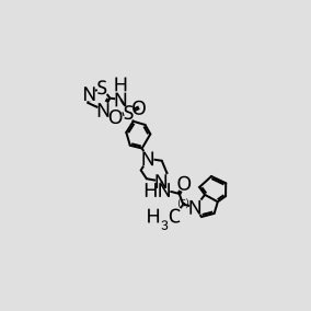 C[C@@H](C(=O)NN1CCN(c2ccc(S(=O)(=O)Nc3ncns3)cc2)CC1)n1ccc2ccccc21